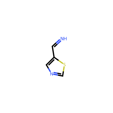 N=Cc1cncs1